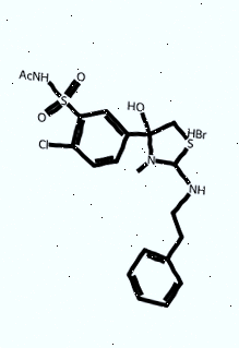 Br.CC(=O)NS(=O)(=O)c1cc(C2(O)CSC(NCCc3ccccc3)N2C)ccc1Cl